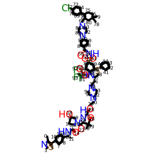 Cc1ncsc1-c1ccc([C@H](C)NC(=O)[C@@H]2C[C@@H](O)CN2C(=O)[C@@H](NC(=O)COCCN2CCN(CC[C@H](CSc3ccccc3)Nc3ccc(S(=O)(=O)NC(=O)c4ccc(N5CCN(CC6=C(c7ccc(Cl)cc7)CCC(C)(C)C6)CC5)cc4)cc3S(=O)(=O)C(F)(F)F)CC2)C(C)(C)C)cc1